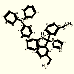 CCc1cccc(C([SiH2]c2ccccc2)(c2cccc(CC)c2)n2ccnc2)c1.c1ccc(B(c2ccccc2)c2ccccc2)cc1